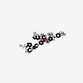 CC(C)c1ccccc1[C@@H]1CCCCN1C1CC2(CCN(c3ccc(C(=O)NS(=O)(=O)c4ccc(NC[C@H]5CC[C@](C)(O)CC5)c([N+](=O)[O-])c4)c(N4c5cc6cc[nH]c6nc5O[C@H]5COCC[C@@H]54)c3)CC2)C1